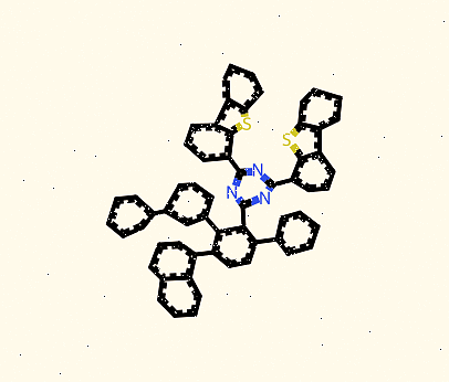 c1ccc(-c2cccc(-c3c(-c4cccc5ccccc45)ccc(-c4ccccc4)c3-c3nc(-c4cccc5c4sc4ccccc45)nc(-c4cccc5c4sc4ccccc45)n3)c2)cc1